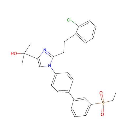 CCS(=O)(=O)c1cccc(-c2ccc(-n3cc(C(C)(C)O)nc3CCc3ccccc3Cl)cc2)c1